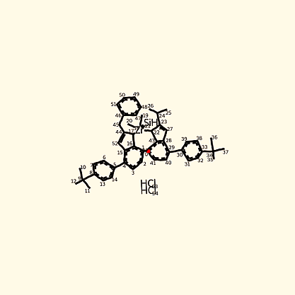 Cc1ccc(-c2ccc(C(C)(C)C)cc2)c2c1[CH]([Zr]([CH3])([CH3])(=[SiH2])[CH]1C(C(C)C)=Cc3c(-c4ccc(C(C)(C)C)cc4)cccc31)C(Cc1ccccc1)=C2.Cl.Cl